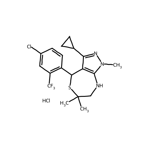 Cl.Cn1nc(C2CC2)c2c1NCC(C)(C)SC2c1ccc(Cl)cc1C(F)(F)F